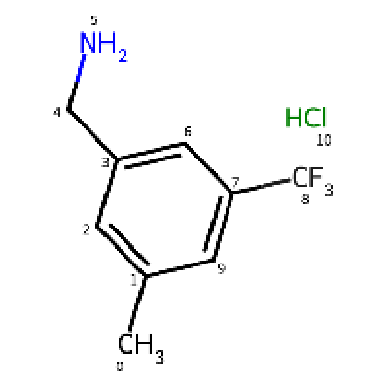 Cc1cc(CN)cc(C(F)(F)F)c1.Cl